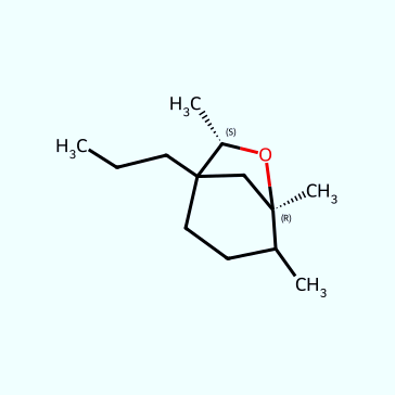 CCCC12CCC(C)[C@@](C)(C1)O[C@H]2C